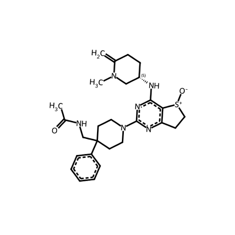 C=C1CC[C@H](Nc2nc(N3CCC(CNC(C)=O)(c4ccccc4)CC3)nc3c2[S+]([O-])CC3)CN1C